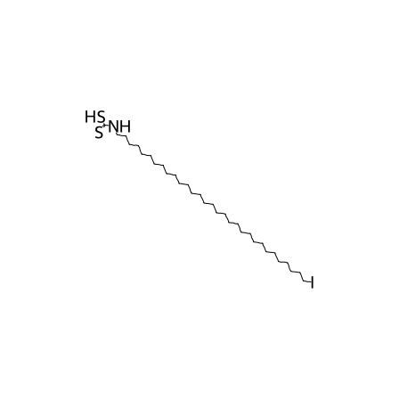 S=C(S)NCCCCCCCCCCCCCCCCCCCCCCCCCCCCCCCI